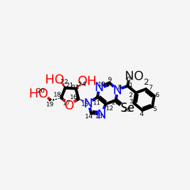 O=[N+]([O-])C(c1ccccc1)n1cnc2c(ncn2[C@@H]2O[C@H](CO)[C@@H](O)[C@H]2O)c1=[Se]